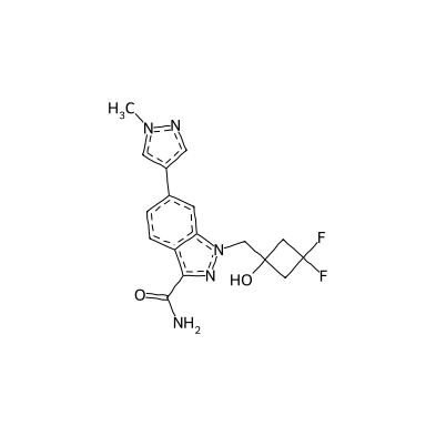 Cn1cc(-c2ccc3c(C(N)=O)nn(CC4(O)CC(F)(F)C4)c3c2)cn1